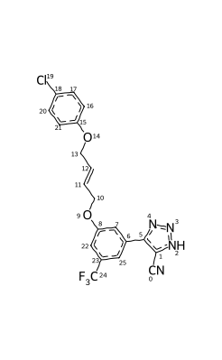 N#Cc1[nH]nnc1-c1cc(OC/C=C/COc2ccc(Cl)cc2)cc(C(F)(F)F)c1